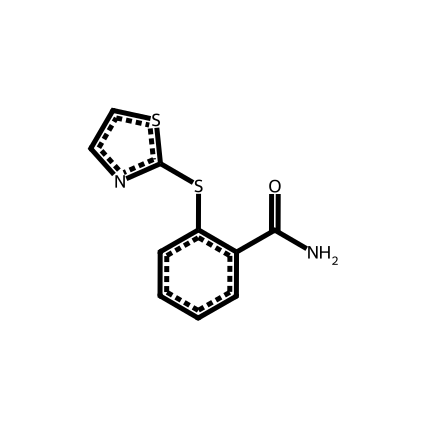 NC(=O)c1ccccc1Sc1nccs1